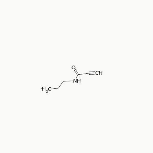 C#CC(=O)NCC[CH2]